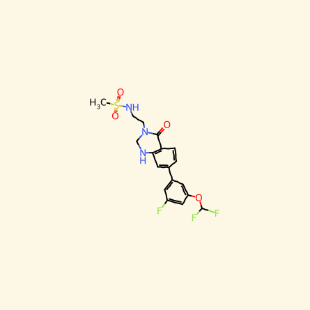 CS(=O)(=O)NCCN1CNc2cc(-c3cc(F)cc(OC(F)F)c3)ccc2C1=O